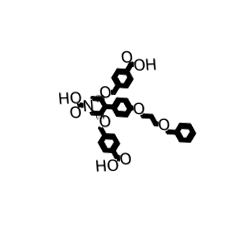 O=C(O)c1ccc(CO[C@H]2CN(C(=O)O)C[C@@H](OCc3ccc(C(=O)O)cc3)C2c2ccc(OCCCOCc3ccccc3)cc2)cc1